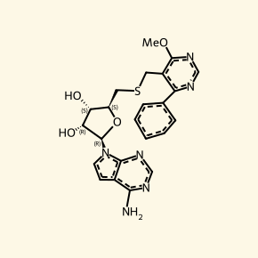 COc1ncnc(-c2ccccc2)c1CSC[C@H]1O[C@@H](n2ccc3c(N)ncnc32)[C@H](O)[C@@H]1O